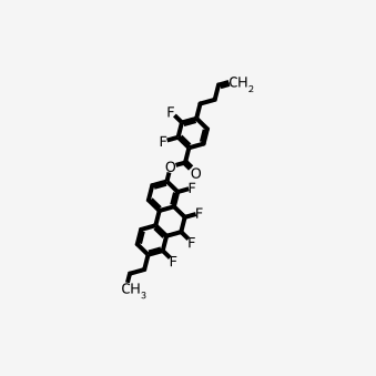 C=CCCc1ccc(C(=O)Oc2ccc3c(c2F)C(F)C(F)c2c-3ccc(CCC)c2F)c(F)c1F